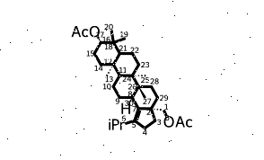 CC(=O)OC[C@]12CCC(C(C)C)=C1[C@H]1CCC3[C@@]4(C)CC[C@H](OC(C)=O)C(C)(C)C4CC[C@@]3(C)[C@]1(C)CC2